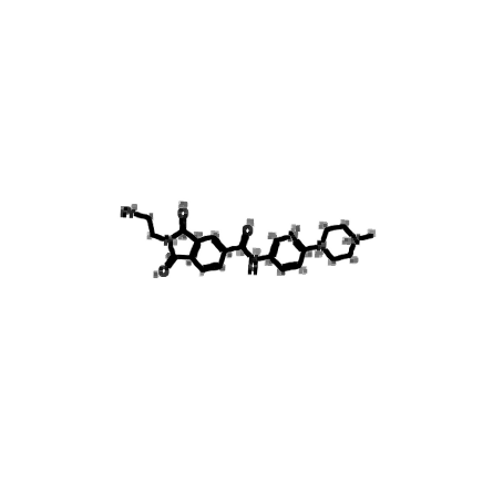 CC(C)CCN1C(=O)c2ccc(C(=O)Nc3ccc(N4CCN(C)CC4)nc3)cc2C1=O